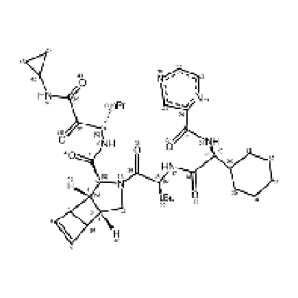 CCC[C@H](NC(=O)[C@@H]1[C@H]2C3C=CC3[C@H]2CN1C(=O)[C@@H](NC(=O)[C@@H](NC(=O)c1cnccn1)C1CCCCC1)C(C)(C)C)C(=O)C(=O)NC1CC1